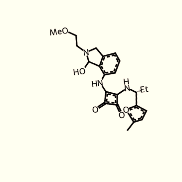 CC[C@@H](Nc1c(Nc2cccc3c2C(O)N(CCOC)C3)c(=O)c1=O)c1ccc(C)o1